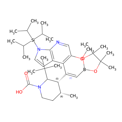 COc1cnc2c(ccn2[Si](C(C)C)(C(C)C)C(C)C)c1/C(=C\B1OC(C)(C)C(C)(C)O1)[C@H]1C(C(C)(C)C)N(C(=O)O)CC[C@H]1C